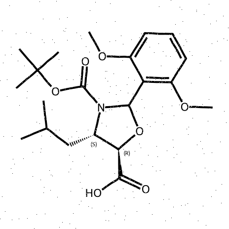 COc1cccc(OC)c1C1O[C@@H](C(=O)O)[C@H](CC(C)C)N1C(=O)OC(C)(C)C